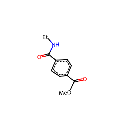 CCNC(=O)c1ccc(C(=O)OC)cc1